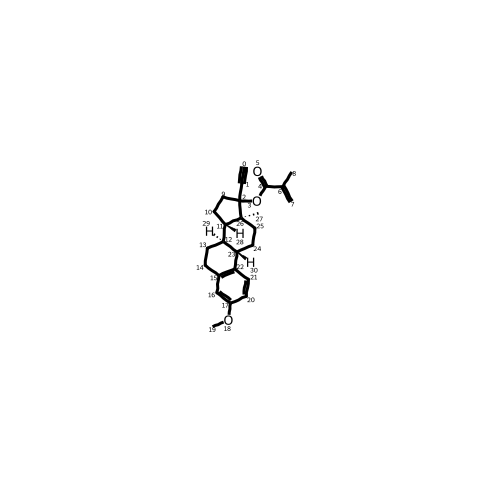 C#CC1(OC(=O)C(=C)C)CC[C@H]2[C@@H]3CCc4cc(OC)ccc4[C@H]3CC[C@@]21C